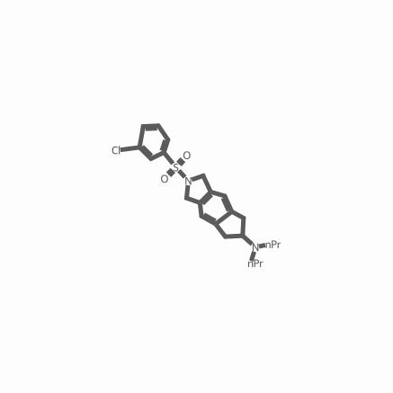 CCCN(CCC)C1Cc2cc3c(cc2C1)CN(S(=O)(=O)c1cccc(Cl)c1)C3